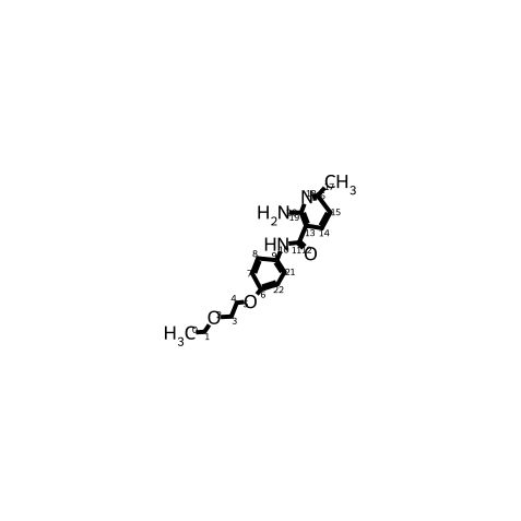 CCOCCOc1ccc(NC(=O)c2ccc(C)nc2N)cc1